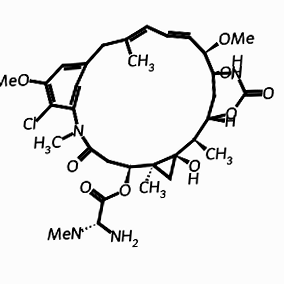 CN[C@@H](N)C(=O)O[C@H]1CC(=O)N(C)c2cc(cc(OC)c2Cl)C/C(C)=C/C=C/[C@@H](OC)[C@@]2(O)C[C@H](OC(=O)N2)[C@@H](C)[C@]2(O)C[C@@]12C